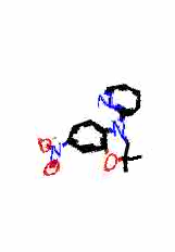 CC1(C)CN(c2ccccn2)c2ccc([N+](=O)[O-])cc2O1